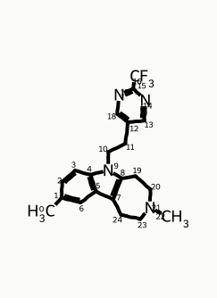 Cc1ccc2c(c1)c1c(n2CCc2cnc(C(F)(F)F)nc2)CCN(C)CC1